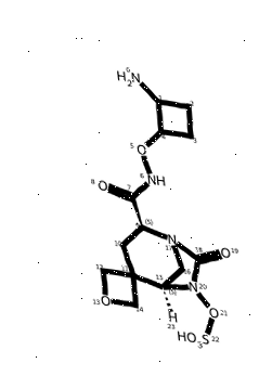 NC1CCC1ONC(=O)[C@@H]1CC2(COC2)[C@H]2CN1C(=O)N2OS(=O)(=O)O